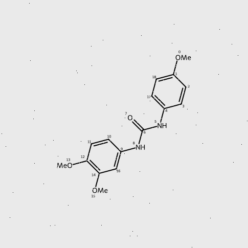 COc1ccc(NC(=O)Nc2ccc(OC)c(OC)c2)cc1